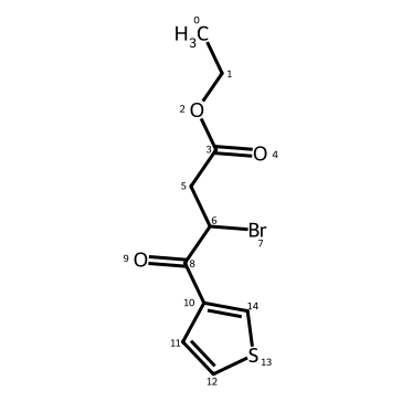 CCOC(=O)CC(Br)C(=O)c1ccsc1